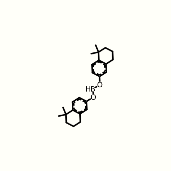 CC1(C)CCCc2cc(OBOc3ccc4c(c3)CCCC4(C)C)ccc21